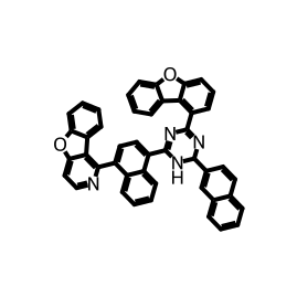 c1ccc2cc(C3N=C(c4cccc5oc6ccccc6c45)N=C(c4ccc(-c5nccc6oc7ccccc7c56)c5ccccc45)N3)ccc2c1